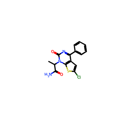 CC(C(N)=O)n1c(=O)nc(-c2ccccc2)c2cc(Cl)sc21